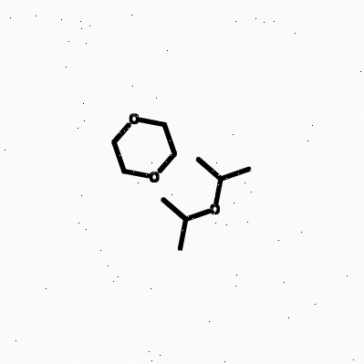 C1COCCO1.CC(C)OC(C)C